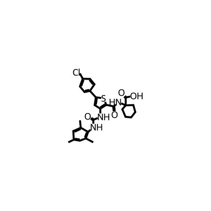 Cc1cc(C)c(NC(=O)Nc2cc(-c3ccc(Cl)cc3)sc2C(=O)NC2(C(=O)O)CCCCC2)c(C)c1